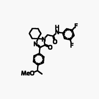 COC(C)c1ccc(C2=NC3(CCCCC3)N(CC(=O)Nc3cc(F)cc(F)c3)C2=O)cc1